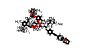 COC(=O)N[C@H](C(=O)N[C@@H](Cc1ccc(C#Cc2cnc(N3CC4CCC(C3)N4C3COC3)nc2)cc1)[C@H](CN(Cc1c(F)cc(-c2ccn(C(F)F)n2)cc1F)NC(=O)[C@@H](NC(=O)OC)C(C)(C)C(F)(F)F)OC(=O)OCOC(=O)CC(C)(C)c1c(CC(=O)NCC(=O)NS(C)(=O)=O)cc(C)cc1OP(=O)(O)O)C(C)(C)C(F)(F)F